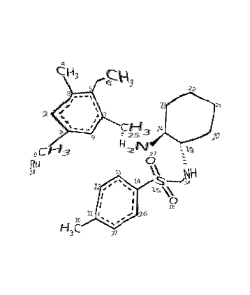 Cc1cc(C)c(C)c(C)c1.Cc1ccc(S(=O)(=O)N[C@H]2CCCC[C@@H]2N)cc1.[Ru]